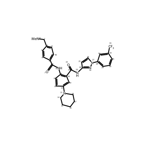 CNCc1ccc(C(=O)Nc2ccc(N3CCCCC3)cc2C(=O)Nc2ccn(-c3cccc(C(F)(F)F)c3)n2)cc1